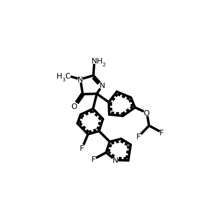 CN1C(=O)C(c2ccc(OC(F)F)cc2)(c2ccc(F)c(-c3cccnc3F)c2)N=C1N